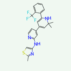 Cc1nc(Nc2cc(C3=CC(C)(C)NC(c4ccccc4C(F)(F)F)=C3)ccn2)cs1